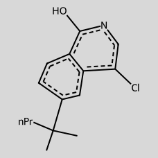 CCCC(C)(C)c1ccc2c(O)ncc(Cl)c2c1